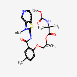 CCCCn1c(=NC(=O)c2cc(C(F)(F)F)ccc2OC[C@H](C)OC(=O)C(C)(C)NC(=O)OC(C)(C)C)sc2ccncc21